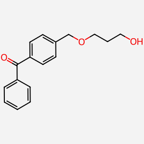 O=C(c1ccccc1)c1ccc(COCCCO)cc1